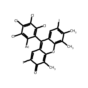 CC(=O)c1c(Cl)c(Cl)c(Cl)c(Cl)c1-c1c2cc(I)c(=O)c(C)c-2oc2c(C)c(C)c(I)cc12